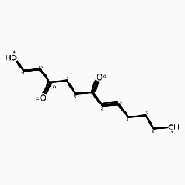 O=C(C=CCCCO)CCC(=O)CCO